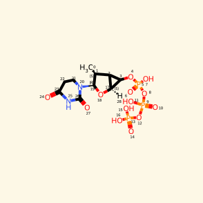 C[C@H]1C2C(OP(=O)(O)OP(=O)(O)OP(=O)(O)O)[C@H]2O[C@H]1N1CCC(=O)NC1=O